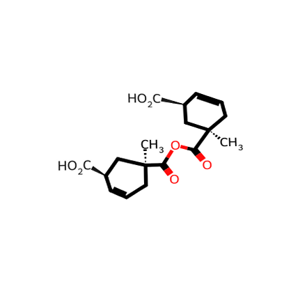 C[C@]1(C(=O)OC(=O)[C@]2(C)CC=C[C@H](C(=O)O)C2)CC=C[C@@H](C(=O)O)C1